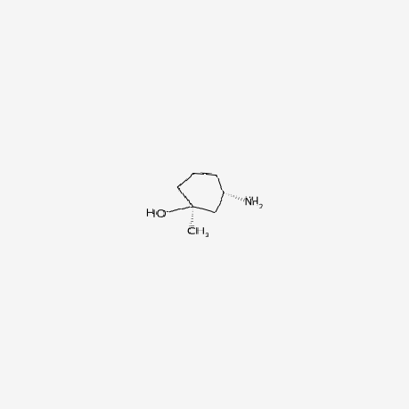 C[C@]1(O)CCC[C@H](N)C1